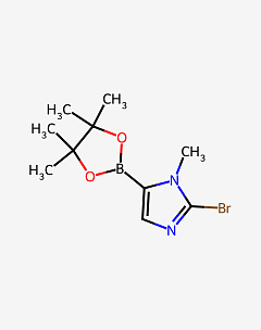 Cn1c(B2OC(C)(C)C(C)(C)O2)cnc1Br